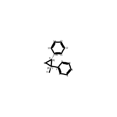 C[C@@]1(c2ccccc2)C[C@@H]1c1ccccc1